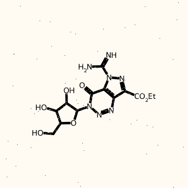 CCOC(=O)c1nn(C(=N)N)c2c(=O)n(C3OC(CO)C(O)C3O)nnc12